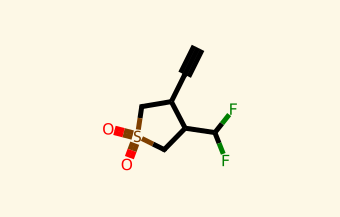 C#CC1CS(=O)(=O)CC1C(F)F